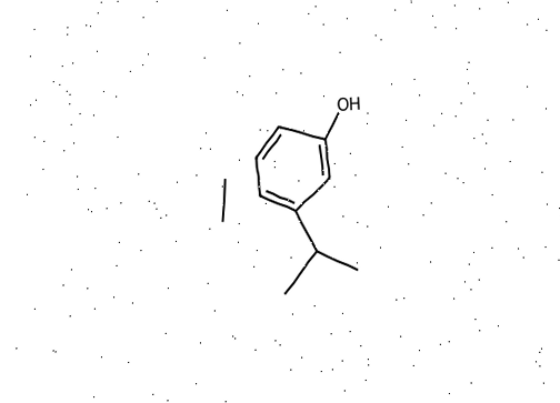 CC.CC(C)c1cccc(O)c1